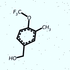 Cc1cc(CO)ccc1OC(F)(F)F